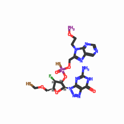 Nc1nc2c(nnn2[C@@H]2O[C@H](COCS)[C@@H](F)[C@H]2OP(=O)(S)OCc2nc3cncnc3n2CCOP)c(=O)[nH]1